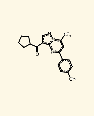 O=C(c1cnn2c(C(F)(F)F)cc(-c3ccc(O)cc3)nc12)C1CCCC1